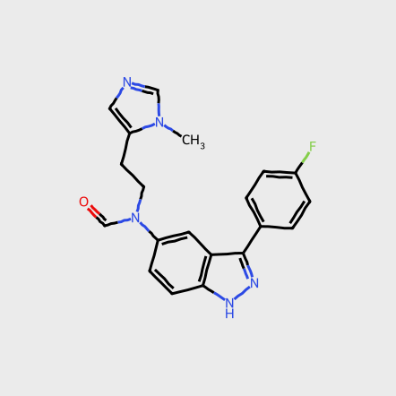 Cn1cncc1CCN(C=O)c1ccc2[nH]nc(-c3ccc(F)cc3)c2c1